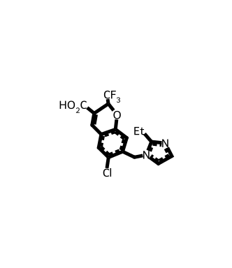 CCc1nccn1Cc1cc2c(cc1Cl)C=C(C(=O)O)C(C(F)(F)F)O2